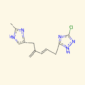 C=C(C=CCc1nc(Cl)n[nH]1)Cc1c[nH]c(C)n1